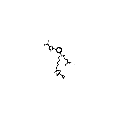 C=C(F)CCC(=O)N(CCCOCc1nc(C2CC2)no1)c1cccc(-c2noc(C(F)F)n2)c1